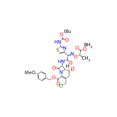 BOC(=O)[C@@H](C)O/N=C(\C(=O)N[C@@H]1C(=O)N2C(C(=O)OCc3ccc(OC)cc3)=C(CCl)C[S+]([O-])[C@H]12)c1csc(NC(=O)OC(C)(C)C)n1